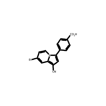 CCc1ccn2c(-c3ccc(C(=O)O)cc3)cc(C#N)c2c1